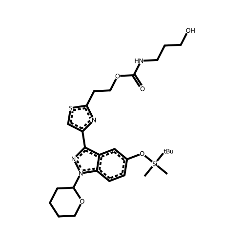 CC(C)(C)[Si](C)(C)Oc1ccc2c(c1)c(-c1csc(CCOC(=O)NCCCO)n1)nn2C1CCCCO1